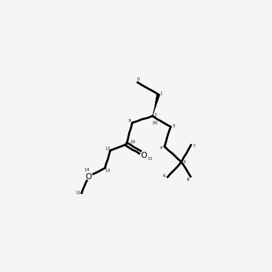 CC[C@@H](CCC(C)(C)C)CC(=O)CCOC